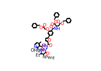 CCCCCC(C(=O)NCNC(=O)c1ccc(-c2ccc(C(=O)NC(CC(=O)OCc3ccccc3)C(=O)OCc3ccccc3)c(OCC(=O)OCc3ccccc3)c2)o1)[C@@H](CC)N(C=O)OC(=O)c1c(C)ccnc1C